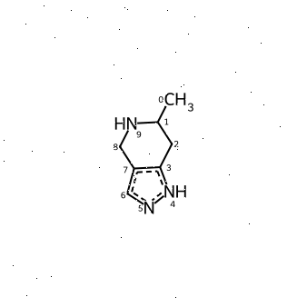 CC1Cc2[nH]ncc2CN1